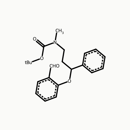 CN(CCC(Oc1ccccc1C=O)c1ccccc1)C(=O)OC(C)(C)C